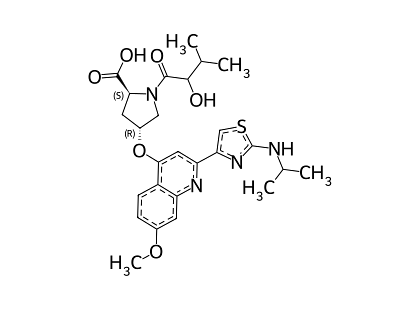 COc1ccc2c(O[C@@H]3C[C@@H](C(=O)O)N(C(=O)C(O)C(C)C)C3)cc(-c3csc(NC(C)C)n3)nc2c1